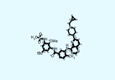 COc1c(NC(=O)c2ccc(C)c(Nc3ncnc4ccc(C5CCN(CC6CC6)CC5)nc34)c2)cc(C(C)(C)C)cc1NS(C)(=O)=O